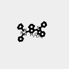 CC1(C)c2ccccc2-c2c(-c3ccccc3)sc(-c3ccc(-c4nc(-c5ccccc5)nc(-c5ccccc5)n4)c4ccccc34)c21